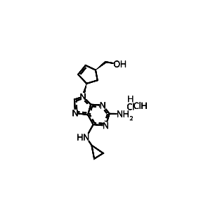 Cl.Cl.Nc1nc(NC2CC2)c2ncn([C@H]3C=C[C@@H](CO)C3)c2n1